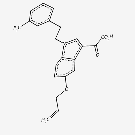 C=CCOc1ccc2c(c1)c(C(=O)C(=O)O)cn2CCc1cccc(C(F)(F)F)c1